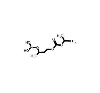 CC(C)OC(=O)OCCC(C)ON(O)O